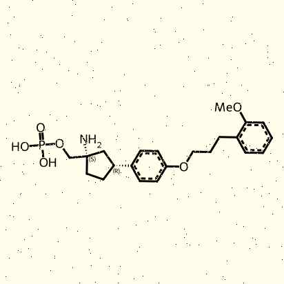 COc1ccccc1CCCOc1ccc([C@@H]2CC[C@@](N)(COP(=O)(O)O)C2)cc1